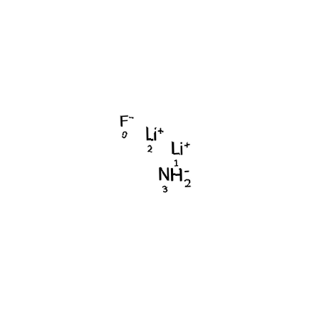 [F-].[Li+].[Li+].[NH2-]